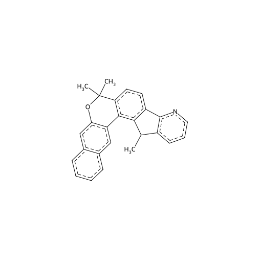 CC1c2cccnc2-c2ccc3c(c21)-c1cc2ccccc2cc1OC3(C)C